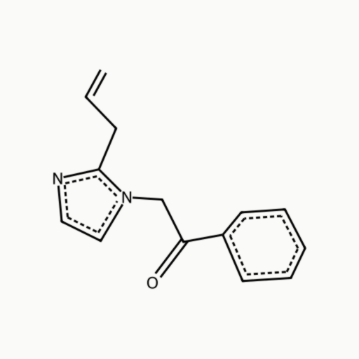 C=CCc1nccn1CC(=O)c1ccccc1